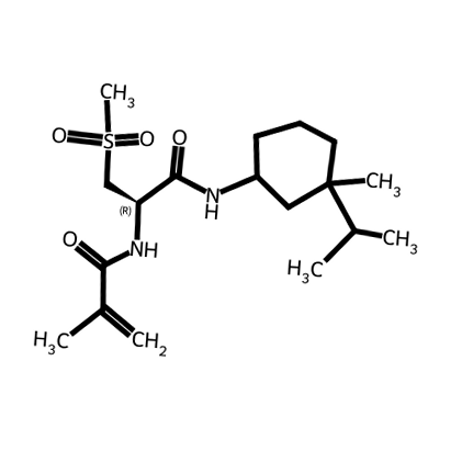 C=C(C)C(=O)N[C@@H](CS(C)(=O)=O)C(=O)NC1CCCC(C)(C(C)C)C1